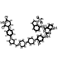 CS(=O)(=O)N1CCc2cccc(Nc3nc(Nc4ccc(N5CCC(N6CCN(C[C@H]7CCN(c8ccc(C9CCC(=O)NC9=O)cc8)C7)CC6)CC5)c(F)c4)nc4[nH]ccc34)c21